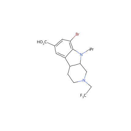 CC(C)N1c2c(Br)cc(C(=O)O)cc2C2CCN(CC(F)(F)F)CC21